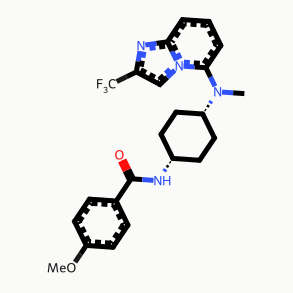 COc1ccc(C(=O)N[C@H]2CC[C@@H](N(C)c3cccc4nc(C(F)(F)F)cn34)CC2)cc1